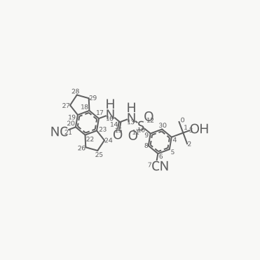 CC(C)(O)c1cc(C#N)cc(S(=O)(=O)NC(=O)Nc2c3c(c(C#N)c4c2CCC4)CCC3)c1